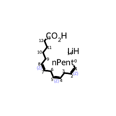 CCCCC/C=C\C/C=C\C/C=C\CCCCC(=O)O.[LiH]